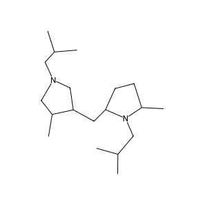 CC(C)CN1CC(C)C(CC2CCC(C)N2CC(C)C)C1